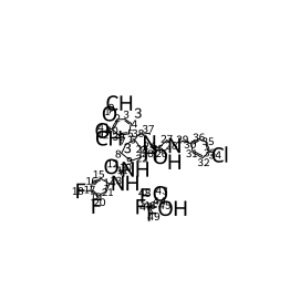 COc1ccc([C@@]23CC[C@@H](NC(=O)Nc4ccc(F)c(F)c4)C[C@@H]2N(C(=O)CNCc2ccc(Cl)cc2)CC3)cc1OC.O=C(O)C(F)(F)F